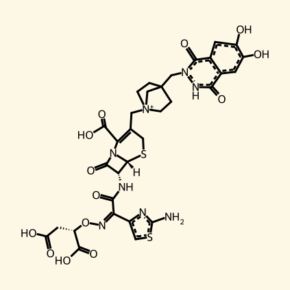 Nc1nc(/C(=N/O[C@@H](CC(=O)O)C(=O)O)C(=O)N[C@@H]2C(=O)N3C(C(=O)O)=C(C[N+]45CCC(Cn6[nH]c(=O)c7cc(O)c(O)cc7c6=O)(CC4)C5)CS[C@H]23)cs1